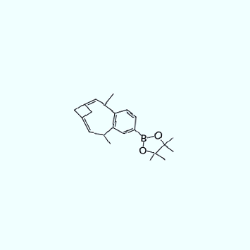 CC1C=C2CC(=CC(C)c3cc(B4OC(C)(C)C(C)(C)O4)ccc31)C2